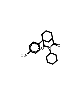 O=C1C2CCCC(c3ccc([N+](=O)[O-])cc3)(C2)C(=O)N1C1CCCCC1